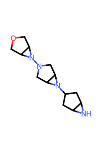 C1C2NC2CC1N1C2CN(N3C4COCC43)CC21